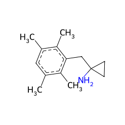 Cc1cc(C)c(C)c(CC2(N)CC2)c1C